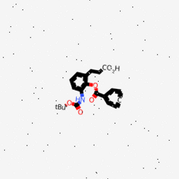 CC(C)(C)OC(=O)Nc1cccc(CCC(=O)O)c1OC(=O)c1ccccc1